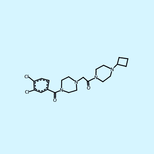 O=C(CN1CCN(C(=O)c2ccc(Cl)c(Cl)c2)CC1)N1CCN(C2CCC2)CC1